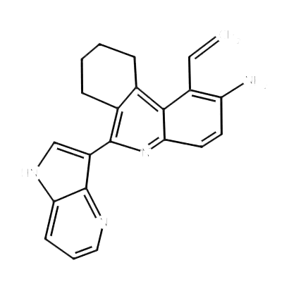 C=Cc1c(N)ccc2nc(-c3c[nH]c4cccnc34)c3c(c12)CCCC3